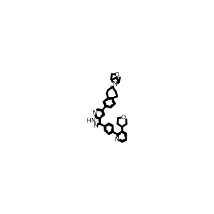 c1cnc(-c2ccc(-c3n[nH]c4ncc(-c5ccc6c(c5)CC[C@@H](N5C7COCC5C7)CC6)cc34)cc2)c(C2CCOCC2)c1